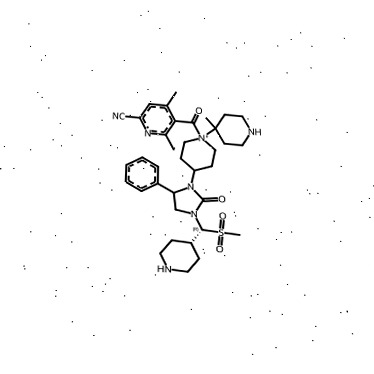 Cc1cc(C#N)nc(C)c1C(=O)[N+]1(C2(C)CCNCC2)CCC(N2C(=O)N([C@@H](C3CCNCC3)S(C)(=O)=O)CC2c2ccccc2)CC1